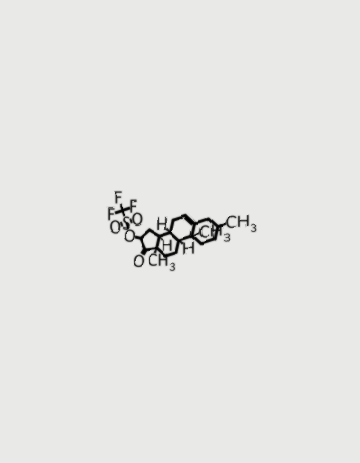 CC1CC[C@@]2(C)C(=CC[C@@H]3[C@H]2CC[C@]2(C)C(=O)C(OS(=O)(=O)C(F)(F)F)C[C@@H]32)C1